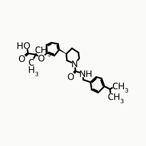 CC(C)c1ccc(CNC(=O)N2CCC[C@H](c3cccc(OC(C)(C)C(=O)O)c3)C2)cc1